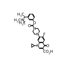 C[C@@H](c1cccc(OC(=O)N2CCN(c3cc4c(cc3F)c(=O)c(C(=O)O)cn4C3CC3)CC2)c1)N(C)C